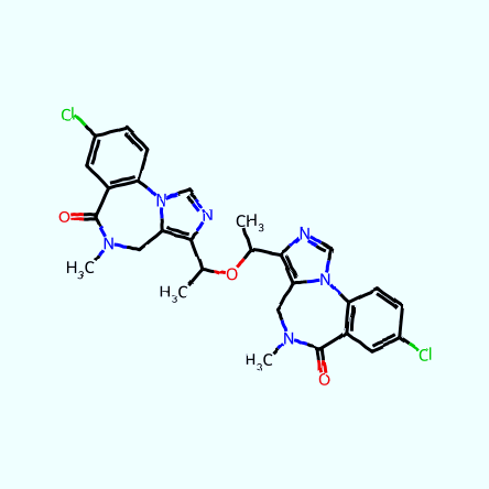 CC(OC(C)c1ncn2c1CN(C)C(=O)c1cc(Cl)ccc1-2)c1ncn2c1CN(C)C(=O)c1cc(Cl)ccc1-2